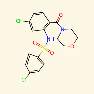 O=C(c1ccc(Cl)cc1NS(=O)(=O)c1ccc(Cl)cc1)N1CCOCC1